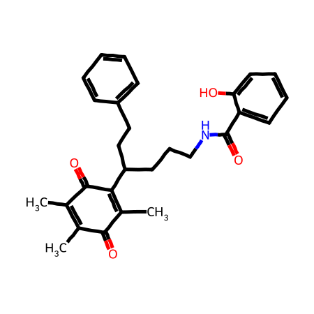 CC1=C(C)C(=O)C(C(CCCNC(=O)c2ccccc2O)CCc2ccccc2)=C(C)C1=O